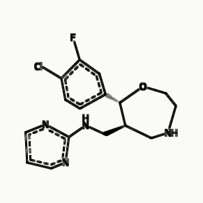 Fc1cc([C@@H]2OCCNC[C@H]2CNc2ncccn2)ccc1Cl